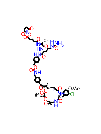 COc1ccc(C[C@H]2NC(=O)/C=C/C[C@@H]([C@H](C)[C@@H]3O[C@H]3c3ccc(CNC(=O)OCc4ccc(NC(=O)[C@H](CCCNC(N)=O)NC(=O)C(NC(=O)CCCC(=O)ON5C(=O)CCC5=O)C(C)C)cc4)cc3)OC(=O)[C@H](CC(C)C)OC(=O)C(C)(C)CNC2=O)cc1Cl